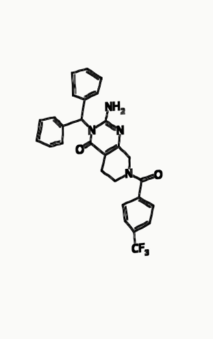 Nc1nc2c(c(=O)n1C(c1ccccc1)c1ccccc1)CCN(C(=O)c1ccc(C(F)(F)F)cc1)C2